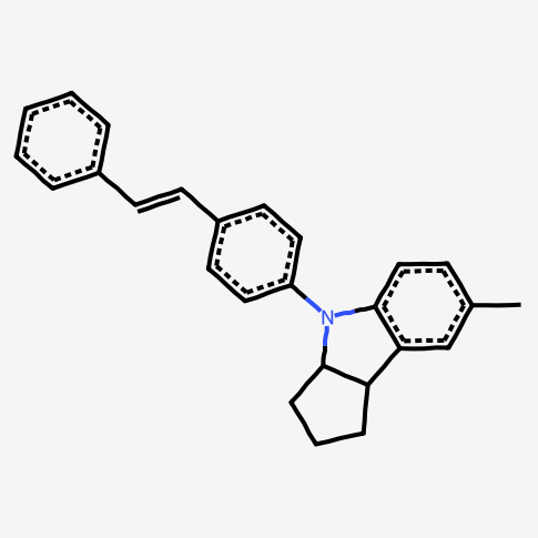 Cc1ccc2c(c1)C1CCCC1N2c1ccc(/C=C/c2ccccc2)cc1